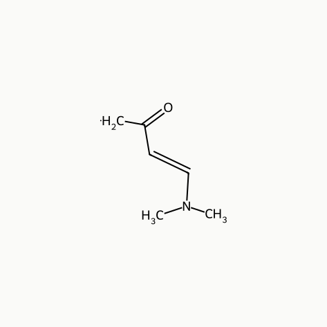 [CH2]C(=O)C=CN(C)C